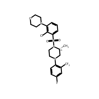 C[C@@H]1CN(c2ccc(F)cc2C(F)(F)F)CCN1S(=O)(=O)c1cccc(N2CCOCC2)c1Cl